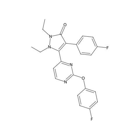 CCn1c(-c2ccnc(Oc3ccc(F)cc3)n2)c(-c2ccc(F)cc2)c(=O)n1CC